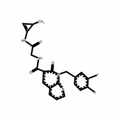 CC1C=C1NC(=O)CNC(=O)c1cc2cccnc2n(Cc2ccc(F)c(F)c2)c1=O